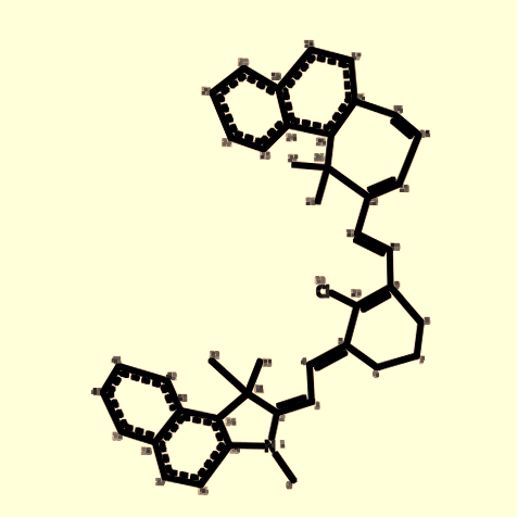 CN1/C(=C/C=C2\CCCC(/C=C/C3=CC=Cc4ccc5ccccc5c4C3(C)C)=C2Cl)C(C)(C)c2c1ccc1ccccc21